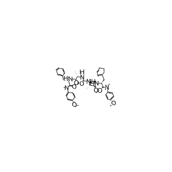 COc1ccc(N(C)C(=O)[C@H](Cc2ccccc2)NC(=O)[C@H](C)NC(=O)N[C@@H](C)C(=O)N[C@@H](Cc2ccccc2)C(=O)N(C)c2ccc(OC)cc2)cc1